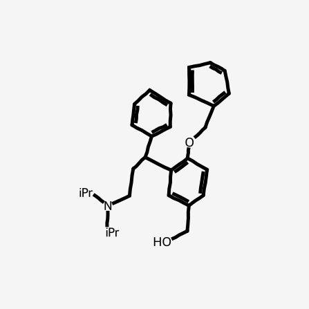 CC(C)N(CCC(c1ccccc1)c1cc(CO)ccc1OCc1ccccc1)C(C)C